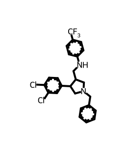 FC(F)(F)c1ccc(NCC2CN(Cc3ccccc3)CC2c2ccc(Cl)c(Cl)c2)cc1